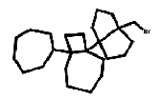 BrCC12CCCC1(C13CCCCCC1(C1CCCCCC1)CC3)CCC2